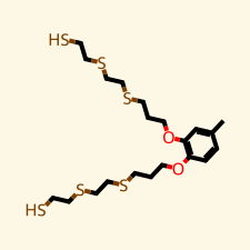 Cc1ccc(OCCCSCCSCCS)c(OCCCSCCSCCS)c1